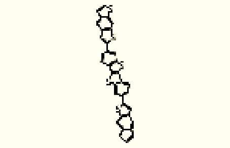 c1cc2cc3cc(-c4ccc5c(c4)sc4c6ccc(-c7cc8cc9ccsc9cc8s7)cc6sc54)sc3cc2s1